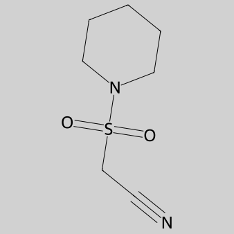 N#CCS(=O)(=O)N1CCCCC1